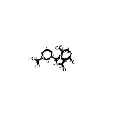 O=C(O)N1CCCC(c2nc(Br)c3c(Cl)ncc(Cl)n23)C1